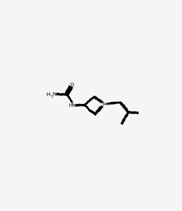 CC(C)CN1CC(NC(N)=O)C1